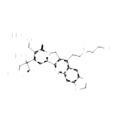 CCCNCCc1c2c(nc3cc4c(cc13)OCO4)-c1cc([C@](O)(C=O)CC)c(COC)c(=O)n1C2